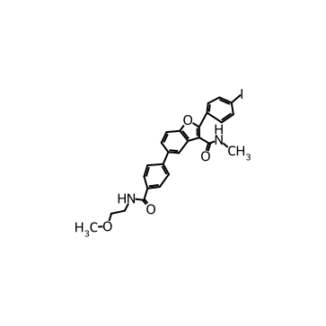 CNC(=O)c1c(-c2ccc(I)cc2)oc2ccc(-c3ccc(C(=O)NCCOC)cc3)cc12